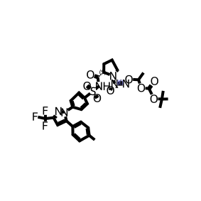 Cc1ccc(-c2cc(C(F)(F)F)nn2-c2ccc(S(=O)(=O)NC(=O)[C@@H]3CCCN3/[N+]([O-])=N\OC(C)OC(=O)OC(C)(C)C)cc2)cc1